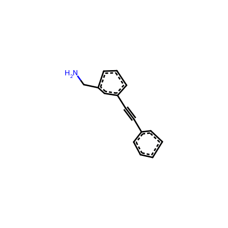 NCc1cccc(C#Cc2ccccc2)c1